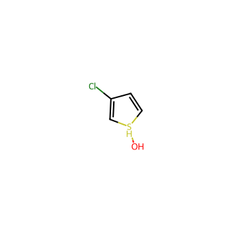 O[SH]1C=CC(Cl)=C1